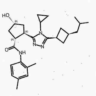 Cc1ccc(NC(=O)[C@@H]2C[C@H](O)C[C@H]2c2nnc([C@H]3C[C@@H](CC(C)C)C3)n2C2CC2)c(C)c1